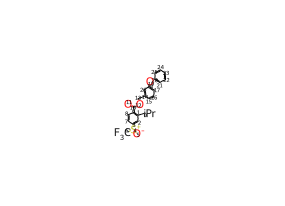 CC(C)c1cc([S+]([O-])C(F)(F)F)ccc1C(=O)OCc1cccc(Oc2ccccc2)c1